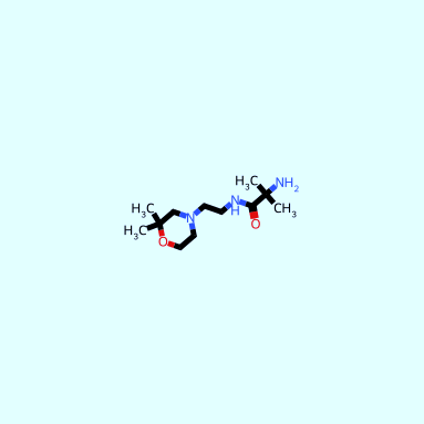 CC1(C)CN(CCNC(=O)C(C)(C)N)CCO1